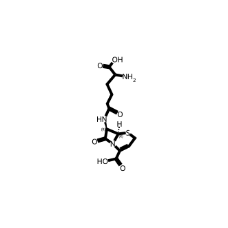 NC(CCCC(=O)N[C@@H]1C(=O)N2C(C(=O)O)=CCS[C@H]12)C(=O)O